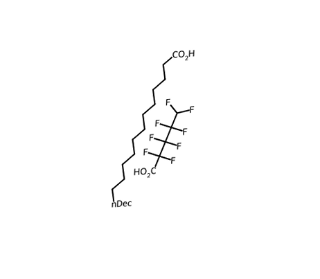 CCCCCCCCCCCCCCCCCCCCCC(=O)O.O=C(O)C(F)(F)C(F)(F)C(F)(F)C(F)F